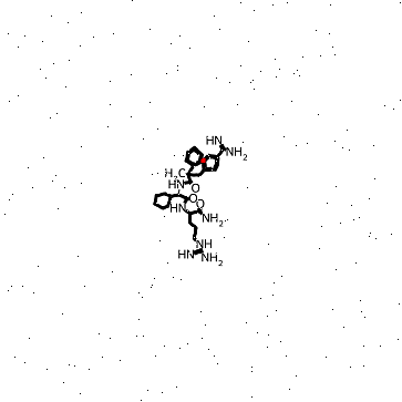 C[C@@](Cc1ccc(C(=N)N)cc1)(C(=O)N[C@H](C(=O)NC(CCCNC(=N)N)C(N)=O)C1CCCCC1)c1ccccc1